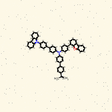 C=C(C)c1ccc(-c2ccc(N(c3ccc(-c4ccc(-n5c6ccccc6c6ccccc65)cc4)cc3)c3ccc(-c4cccc5c4oc4ccccc45)cc3)cc2)cc1